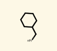 C[CH]C[CH]C1CCCCC1